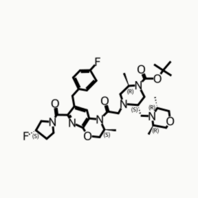 C[C@@H]1CN(CC(=O)N2c3cc(Cc4ccc(F)cc4)c(C(=O)N4CC[C@H](F)C4)nc3OC[C@@H]2C)[C@@H](CN2[C@H](C)COC[C@H]2C)CN1C(=O)OC(C)(C)C